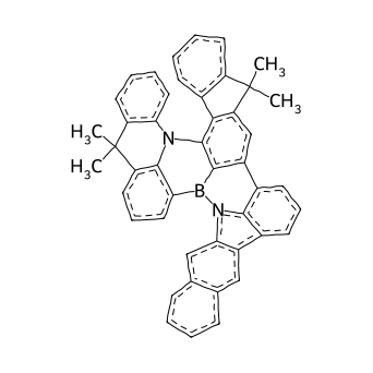 CC1(C)c2ccccc2-c2c1cc1c3c2N2c4ccccc4C(C)(C)c4cccc(c42)B3n2c3cc4ccccc4cc3c3cccc-1c32